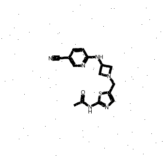 CC(=O)Nc1ncc(CN2CC(Nc3ccc(C#N)cn3)C2)s1